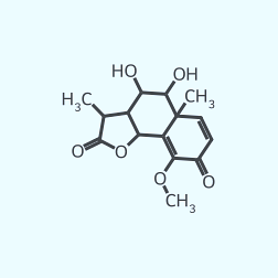 COC1=C2C3OC(=O)C(C)C3C(O)C(O)C2(C)C=CC1=O